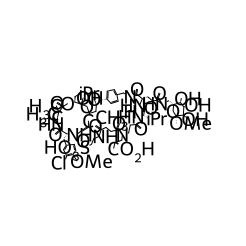 COc1ccc(C[C@H]2NC(=O)/C=C/C[C@@H]([C@H](C)[C@H]3O[C@@H]3c3ccc(CNC(=O)[C@H](CCC(=O)NC[C@H]4O[C@@H](OC)[C@H](O)[C@@H](O)[C@@H]4O)NC(=O)[C@@H](NC(=O)CCN(CCC(=O)O)C(=O)CCC(=O)NCCS(=O)(=O)O)C(C)C)cc3)OC(O)[C@H](CC(C)C)OC(=O)C(C)(C)CNC2=O)cc1Cl